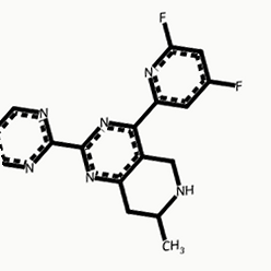 CC1Cc2nc(-c3ncccn3)nc(-c3cc(F)cc(F)n3)c2CN1